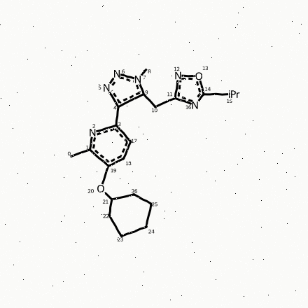 Cc1nc(-c2nnn(C)c2Cc2noc(C(C)C)n2)ccc1OC1CCCCC1